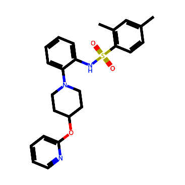 Cc1ccc(S(=O)(=O)Nc2ccccc2N2CCC(Oc3ccccn3)CC2)c(C)c1